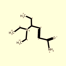 CCC(C=CC(N)=O)N(CC)CC